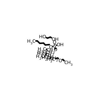 C=C.C=C.C=C.C=C.C=C.CCCCCCOS(=O)(=O)O.CCOCC.OCCO